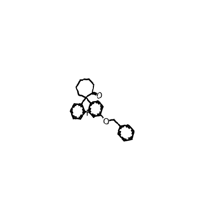 O=C1CCCCCC1(c1ccc(OCc2ccccc2)cc1)c1ccccc1F